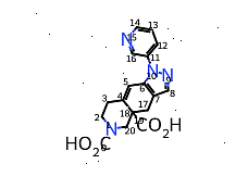 O=C(O)N1CCC2=Cc3c(cnn3-c3cccnc3)CC2(C(=O)O)C1